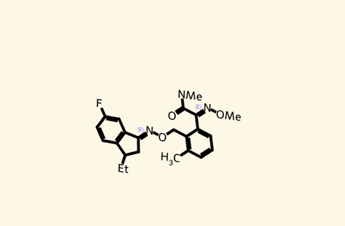 CCC1C/C(=N\OCc2c(C)cccc2/C(=N\OC)C(=O)NC)c2cc(F)ccc21